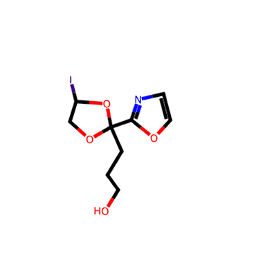 OCCCC1(c2ncco2)OCC(I)O1